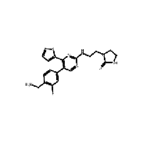 NCc1ccc(-c2cnc(NCCN3CCNC3=O)nc2-c2cccs2)cc1F